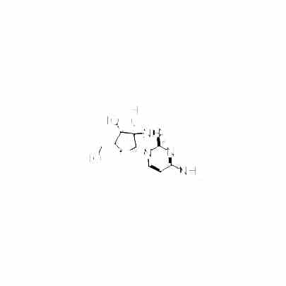 C[C@@]1(N)[C@H](O)[C@@H](CO)O[C@H]1n1ccc(N)nc1=O